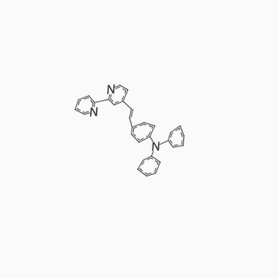 C(=C\c1ccnc(-c2ccccn2)c1)/c1ccc(N(c2ccccc2)c2ccccc2)cc1